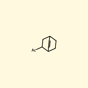 CC(=O)C1CC2C=CC1CC2